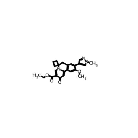 CCOC(=O)c1cn2c(cc1=O)-c1cc(OC)c(-c3cnn(C)c3)cc1CC21CCC1